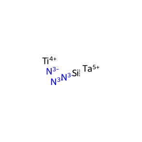 [N-3].[N-3].[N-3].[Si].[Ta+5].[Ti+4]